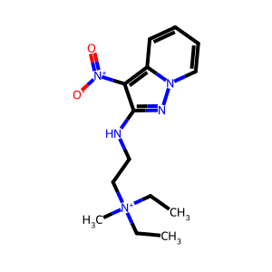 CC[N+](C)(CC)CCNc1nn2ccccc2c1[N+](=O)[O-]